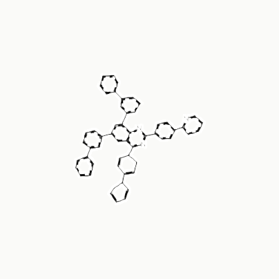 C1=CCC(C2=CCC(c3nc(-c4ccc(-c5ccccn5)cc4)nc4c(-c5cccc(-c6ccccc6)c5)cc(-c5cccc(-c6ccccc6)c5)cc34)C=C2)C=C1